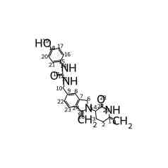 C=C1CCC(N2Cc3cc(CNC(=O)Nc4ccc(O)cc4)ccc3C2=C)C(=O)N1